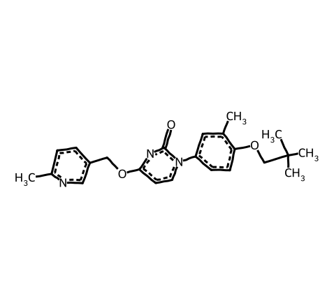 Cc1ccc(COc2ccn(-c3ccc(OCC(C)(C)C)c(C)c3)c(=O)n2)cn1